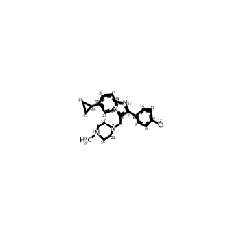 CN1CCN(Cc2c(-c3ccc(Cl)cc3)nc3ccc(C4CC4)cn23)CC1